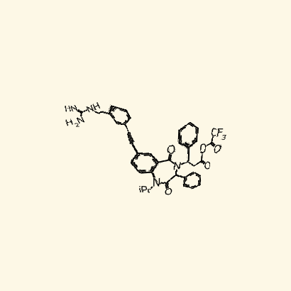 CC(C)N1C(=O)C(c2ccccc2)N(C(CC(=O)OC(=O)C(F)(F)F)c2ccccc2)C(=O)c2cc(C#Cc3cccc(CNC(=N)N)c3)ccc21